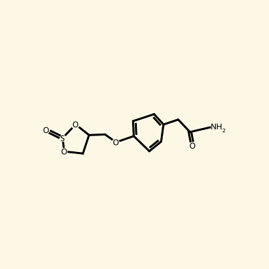 NC(=O)Cc1ccc(OCC2COS(=O)O2)cc1